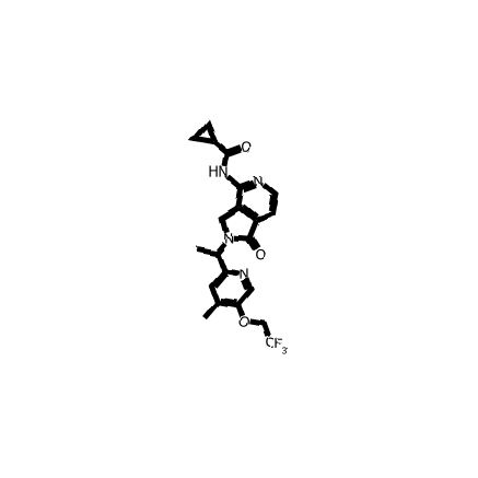 Cc1cc(C(C)N2Cc3c(ccnc3NC(=O)C3CC3)C2=O)ncc1OCC(F)(F)F